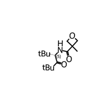 CC(C)(C)C(=O)[C@@H](NC(=O)C1(C)COC1)C(C)(C)C